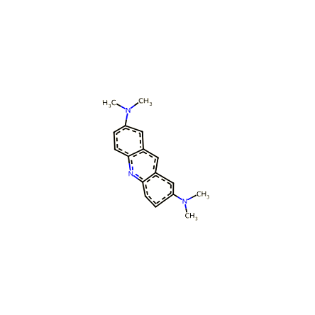 CN(C)c1ccc2nc3ccc(N(C)C)cc3cc2c1